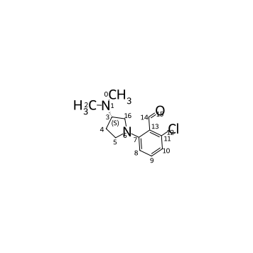 CN(C)[C@H]1CCN(c2cccc(Cl)c2C=O)C1